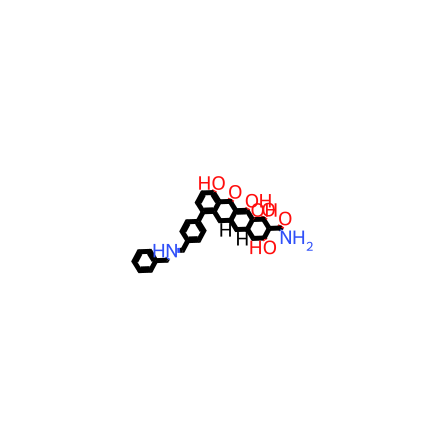 NC(=O)C1C(=O)[C@@]2(O)C(O)=C3C(=O)c4c(O)ccc(-c5ccc(CNCc6ccccc6)cc5)c4C[C@H]3C[C@H]2CC1O